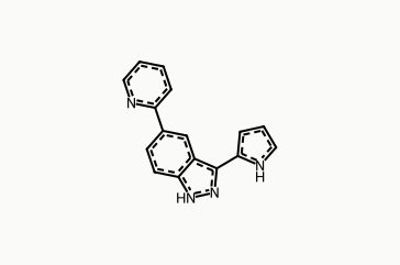 c1ccc(-c2ccc3[nH]nc(-c4ccc[nH]4)c3c2)nc1